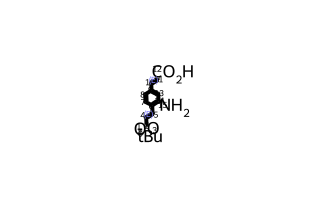 CC(C)(C)OC(=O)/C=C/c1ccc(/C=C/C(=O)O)cc1N